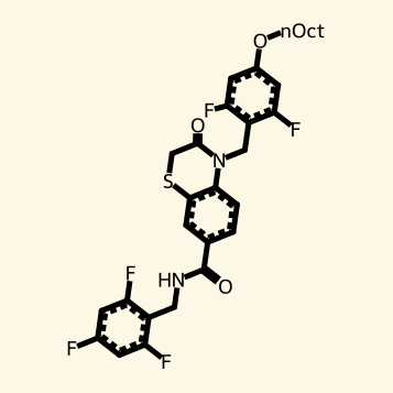 CCCCCCCCOc1cc(F)c(CN2C(=O)CSc3cc(C(=O)NCc4c(F)cc(F)cc4F)ccc32)c(F)c1